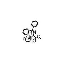 COC(=O)C(N=C(c1ccccc1)c1ccccc1)[C@H]1CN2CCC1CC2